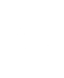 Cc1ccccc1OC1CC1